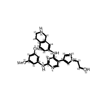 COc1cc(Nc2ncc(-c3cnn(CCO)c3)c(Nc3ccc4c(c3)CNCC4)n2)cc(OC)c1